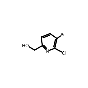 OCc1ccc(Br)c(Cl)n1